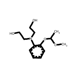 COC(C)Oc1ccccc1N(CCO)CCO